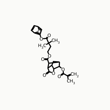 C=C(C)C(=O)OC1C2CC3C1OC(=O)C3C2C(=O)OCCC(C)(C)C(=O)Oc1cc2ccc1o2